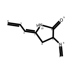 C=C/C=C1/CC(N=C)C(=O)N1